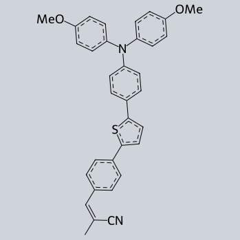 COc1ccc(N(c2ccc(OC)cc2)c2ccc(-c3ccc(-c4ccc(/C=C(/C)C#N)cc4)s3)cc2)cc1